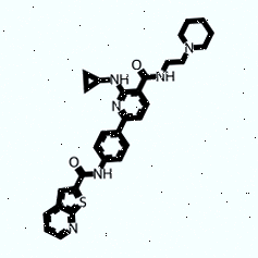 O=C(Nc1ccc(-c2ccc(C(=O)NCCN3CCCCC3)c(NC3CC3)n2)cc1)c1cc2cccnc2s1